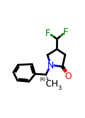 C[C@H](c1ccccc1)N1CC(C(F)F)CC1=O